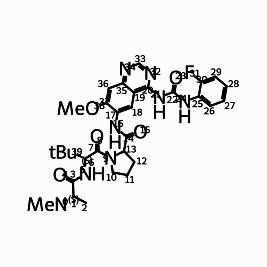 CN[C@@H](C)C(=O)N[C@H](C(=O)N1CCCC1C(=O)Nc1cc2c(NC(=O)Nc3ccccc3F)ncnc2cc1OC)C(C)(C)C